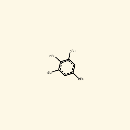 CCCCc1[c]c(CCCC)c(CCCC)c(CCCC)c1